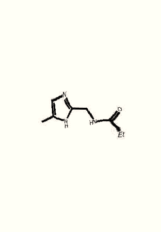 CCC(=O)NCc1ncc(C)[nH]1